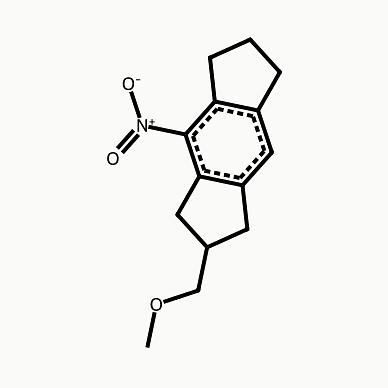 COCC1Cc2cc3c(c([N+](=O)[O-])c2C1)CCC3